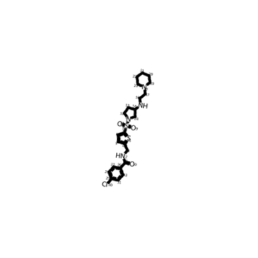 O=C(NCc1ccc(S(=O)(=O)N2CCC(NCCN3CCCCC3)C2)s1)c1ccc(Cl)cc1